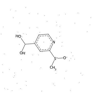 C[S+]([O-])c1cc(C(O)O)ccn1